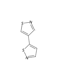 [c]1nscc1-c1ccns1